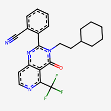 N#Cc1ccccc1-c1nc2ccnc(C(F)(F)F)c2c(=O)n1CCC1CCCCC1